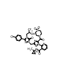 CC1(NC(=O)c2cccnc2-n2nc(Cn3nc(-c4ccc(Cl)cc4)n(CC(O)C(F)(F)F)c3=O)nc2C(=O)N2CCS(=O)(=O)CC2)CC1